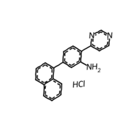 Cl.Nc1cc(-c2cccc3ccccc23)ccc1-c1ccncn1